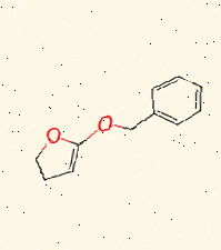 C1=C(OCc2ccccc2)OCC1